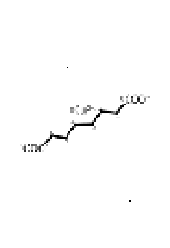 O=C([O-])CCCCCCC(=O)[O-].[Cu+2]